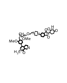 COc1cc(-c2cn(C)c(=O)c3cnccc23)cc(OC)c1CN(C)CCCOCCN1CCN(c2ccc3c(c2)C(=O)N(C2CCC(=O)NC2=O)C3=O)CC1